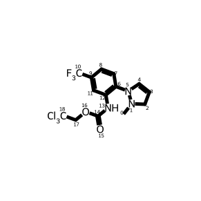 CN1CC=CN1c1ccc(C(F)(F)F)cc1NC(=O)OCC(Cl)(Cl)Cl